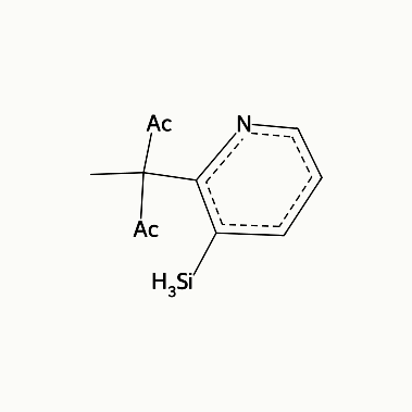 CC(=O)C(C)(C(C)=O)c1ncccc1[SiH3]